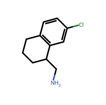 NCC1CCCc2ccc(Cl)cc21